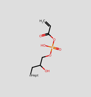 C=CC(=O)OP(=O)(O)OCC(O)CCCCCCCC